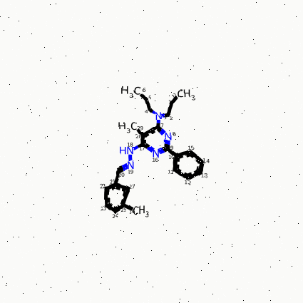 CCCN(CCC)c1nc(-c2ccccc2)nc(N/N=C/c2cccc(C)c2)c1C